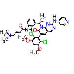 COc1cc(OC)c(Cl)c(-c2cc3cnc(Nc4ccncc4)nc3n(C(C)c3cccc(NC(=O)/C=C/CN(C)C)c3)c2=O)c1Cl